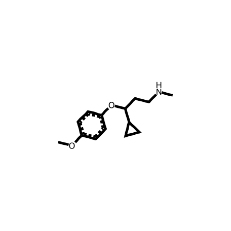 CNCCC(Oc1ccc(OC)cc1)C1CC1